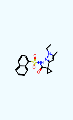 CCn1nc(C2(C(=O)NS(=O)(=O)c3cccc4ccccc34)CC2)cc1C